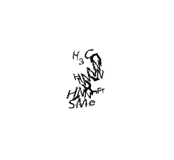 CSCCNc1ncc(C(C)C)c2cc(Nc3ccnc(N4CCCC(C)C4)n3)ncc12